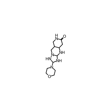 O=C1CC2NC3NC(N4CCOCC4)NN3CC2CN1